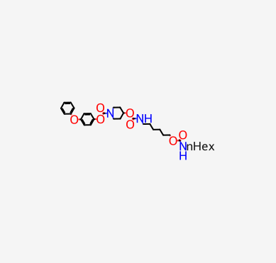 CCCCCCNC(=O)OCCCCCCNC(=O)OC1CCN(C(=O)Oc2ccc(Oc3ccccc3)cc2)CC1